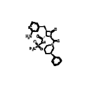 CS(=O)(=O)NC(=O)[C@@H]1[C@@H](Cc2ccnc(N)c2)C(=O)N1C(=O)N1CCC[C@H](c2ccccc2)C1